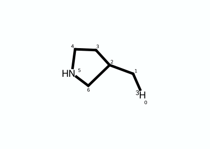 [3H]CC1CCNC1